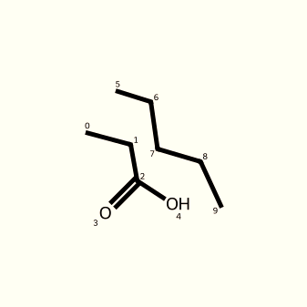 CCC(=O)O.CCCCC